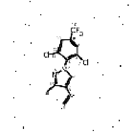 C=Cc1cn(-c2c(Cl)cc(C(F)(F)F)cc2Cl)nc1C